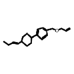 C=CCOCc1ccc(C2CCC(C=CCC)CC2)cc1